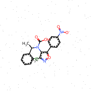 Cc1noc(-c2ccc([N+](=O)[O-])cc2)c1N(C(=O)O)C(C)c1ccccc1Cl